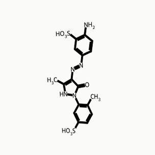 Cc1ccc(S(=O)(=O)O)cc1-n1[nH]c(C)c(N=Nc2ccc(N)c(S(=O)(=O)O)c2)c1=O